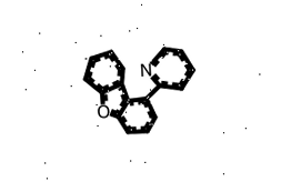 [c]1ccc2c(c1)oc1cccc(-c3ccccn3)c12